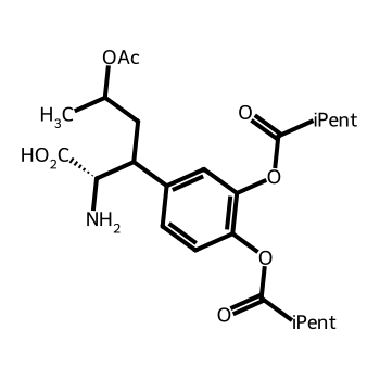 CCCC(C)C(=O)Oc1ccc(C(CC(C)OC(C)=O)[C@H](N)C(=O)O)cc1OC(=O)C(C)CCC